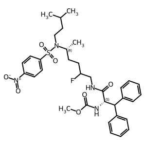 COC(=O)N[C@H](C(=O)NCC(F)CC[C@@H](C)N(CCC(C)C)S(=O)(=O)c1ccc([N+](=O)[O-])cc1)C(c1ccccc1)c1ccccc1